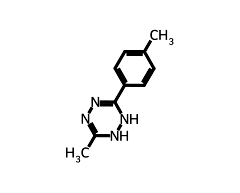 CC1=NN=C(c2ccc(C)cc2)NN1